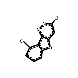 Clc1cc2oc3cccc(Cl)c3c2nn1